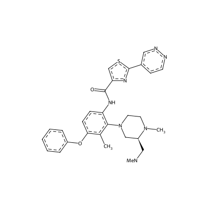 CNC[C@H]1CN(c2c(NC(=O)c3csc(-c4ccnnc4)n3)ccc(Oc3ccccc3)c2C)CCN1C